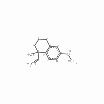 C=CC1(O)CCCc2cc(OC)ccc21